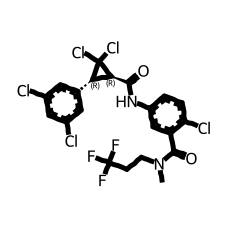 CN(CCC(F)(F)F)C(=O)c1cc(NC(=O)[C@H]2[C@H](c3cc(Cl)cc(Cl)c3)C2(Cl)Cl)ccc1Cl